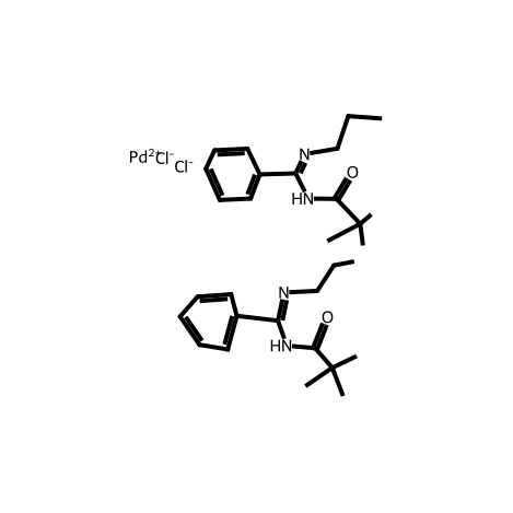 CCCN=C(NC(=O)C(C)(C)C)c1ccccc1.CCCN=C(NC(=O)C(C)(C)C)c1ccccc1.[Cl-].[Cl-].[Pd+2]